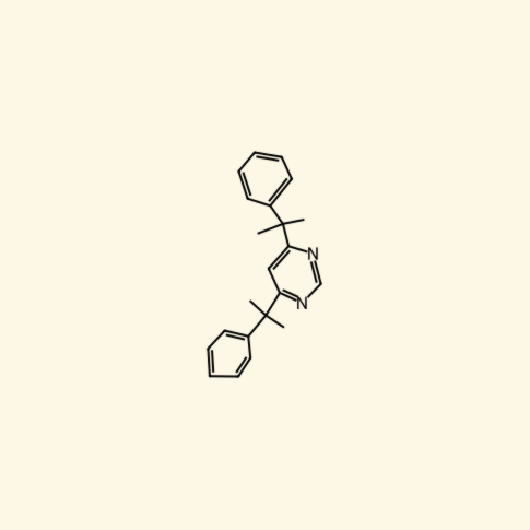 CC(C)(c1ccccc1)c1cc(C(C)(C)c2ccccc2)ncn1